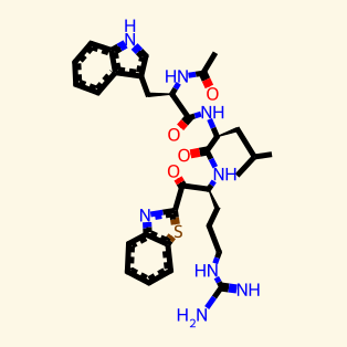 CC(=O)N[C@H](Cc1c[nH]c2ccccc12)C(=O)N[C@@H](CC(C)C)C(=O)N[C@@H](CCCNC(=N)N)C(=O)c1nc2ccccc2s1